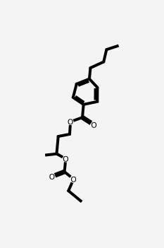 CCCCc1ccc(C(=O)OCCC(C)OC(=O)OCC)cc1